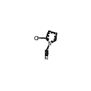 N#Cn1cccc1Cl